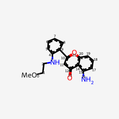 COCCNc1ccccc1-c1cc(=O)c2c(N)cccc2o1